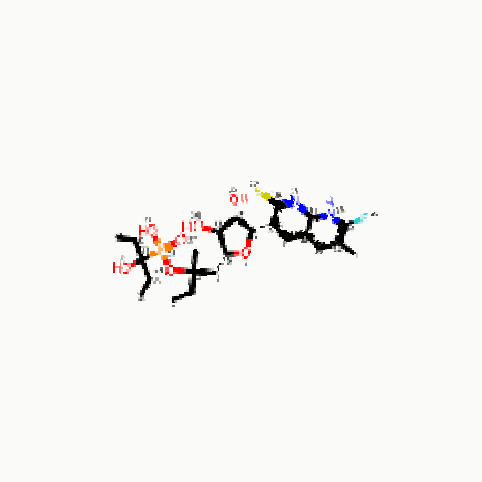 CCC(C)(C[C@H]1O[C@@H](c2cc3cc(C)c(F)[nH]c-3nc2=S)[C@@H](O)C1O)OP(=O)(O)C(O)(CC)CC